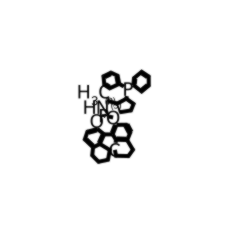 C[C@@H](Np1oc2c#cc3c(c2c2c4c(ccc2o1)CCCC4)CCCC3)[C@@H]1CCCC1P(c1ccccc1)c1ccccc1